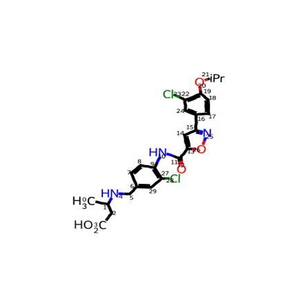 CC(CC(=O)O)NCc1ccc(NC(=O)c2cc(-c3ccc(OC(C)C)c(Cl)c3)no2)c(Cl)c1